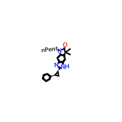 CCCCCN1C(=O)C(C)(C)c2cc3[nH]c([C@@H]4C[C@H]4c4ccccc4)nc3cc21